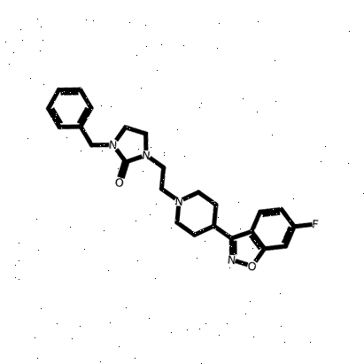 O=C1N(CCN2CCC(c3noc4cc(F)ccc34)CC2)CCN1Cc1ccccc1